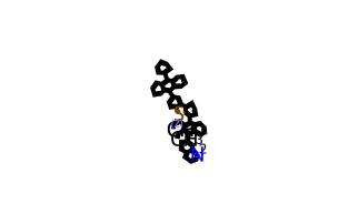 C=Cc1c(/C=C\C)c(-c2cccc3c2sc2ccc(-c4c5ccccc5c(-c5ccccc5)c5ccccc45)cc23)c2ccccc2c1-c1ccc2cccnc2c1